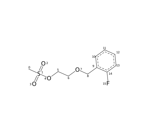 CS(=O)(=O)OCCOCc1ccccc1F